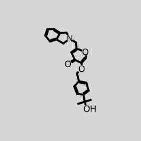 CC(C)(O)c1ccc(COc2coc(CN3Cc4ccccc4C3)cc2=O)cc1